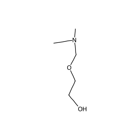 CN(C)COCCO